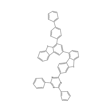 c1ccc(-c2ccc(-c3cc(-c4cccc5sc6cc(-c7nc(-c8ccccc8)nc(-c8ccccc8)n7)ccc6c45)cc4c3sc3ccccc34)cc2)cc1